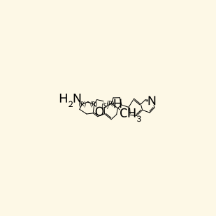 CC12CC=C3C=C4CC[C@@H](N)C[C@]45CC[C@]3(O5)[C@@H]1CCC2c1ccc2ccncc2c1